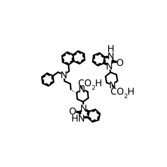 O=C(O)N1CCC(n2c(=O)[nH]c3ccccc32)CC1.O=C(O)N1CCC(n2c(=O)[nH]c3ccccc32)C[C@@H]1CCCN(Cc1ccccc1)Cc1cccc2ccccc12